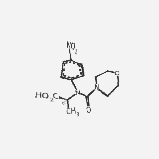 C[C@@H](C(=O)O)N(C(=O)N1CCOCC1)c1ccc([N+](=O)[O-])cc1